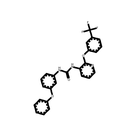 O=C(Nc1cccc(Oc2ccccc2)c1)Nc1cccnc1Oc1cccc(C(F)(F)F)c1